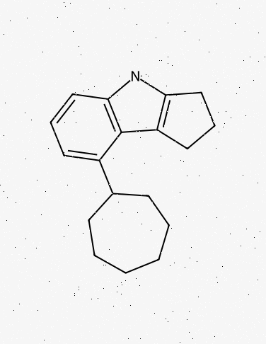 c1cc2c(c(C3CCCCCC3)c1)C1=C(CCC1)[N]2